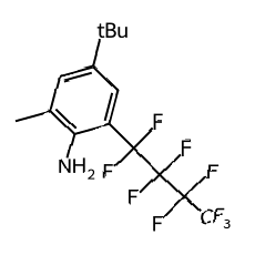 Cc1cc(C(C)(C)C)cc(C(F)(F)C(F)(F)C(F)(F)C(F)(F)F)c1N